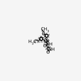 CCCOc1cccc(-n2nc(NC(=O)[C@@H]3CNC(=O)C3)cc2-c2cccc(CCC)c2)c1